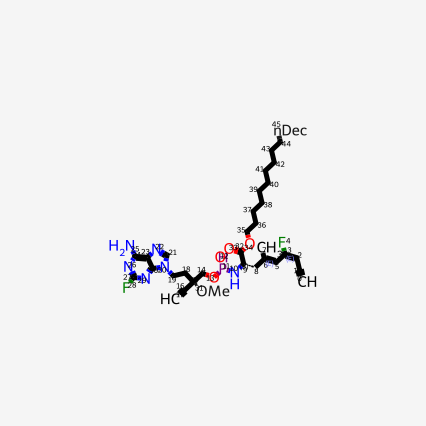 C#C/C=C(F)\C=C(/C)C[C@H](N[PH](=O)OC[C@](C#C)(CCn1cnc2c(N)nc(F)nc21)OC)C(=O)OCCCCCCCCCCCCCCCCCCCC